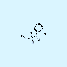 ClCC(Cl)(Cl)C(Cl)c1ccccc1Cl